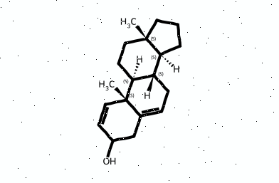 C[C@@]12CCC[C@H]1[C@@H]1CC=C3CC(O)C=C[C@]3(C)[C@H]1CC2